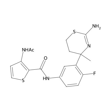 CC(=O)Nc1ccsc1C(=O)Nc1ccc(F)c(C2(C)CCSC(N)=N2)c1